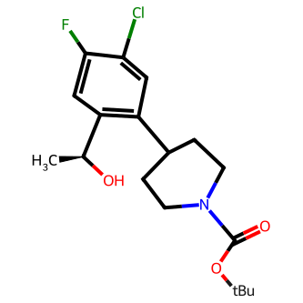 C[C@H](O)c1cc(F)c(Cl)cc1C1CCN(C(=O)OC(C)(C)C)CC1